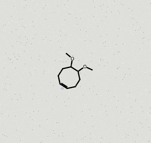 COC1CC/C=C\CCC1OC